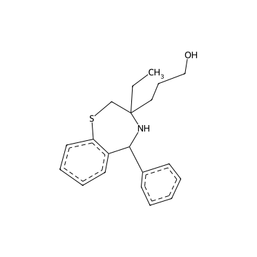 CCC1(CCCO)CSc2ccccc2C(c2ccccc2)N1